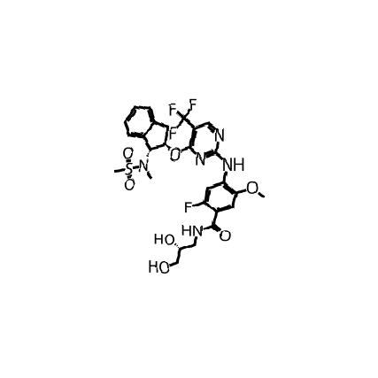 COc1cc(C(=O)NC[C@@H](O)CO)c(F)cc1Nc1ncc(C(F)(F)F)c(O[C@@H]2Cc3ccccc3[C@H]2N(C)S(C)(=O)=O)n1